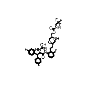 O=C(O)N[C@H](C(=O)Nc1cccc(F)c1CC[C@@H]1CN[C@H](COC(=O)NCC(F)(F)F)CO1)C(c1ccc(F)cc1)c1ccc(F)cc1